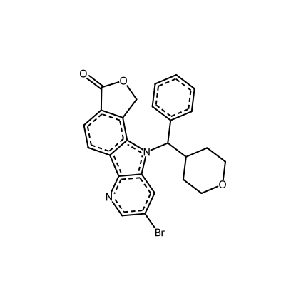 O=C1OCc2c1ccc1c3ncc(Br)cc3n(C(c3ccccc3)C3CCOCC3)c21